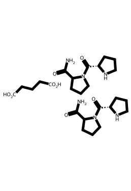 NC(=O)C1CCCN1C(=O)[C@@H]1CCCN1.NC(=O)C1CCCN1C(=O)[C@@H]1CCCN1.O=C(O)CCCC(=O)O